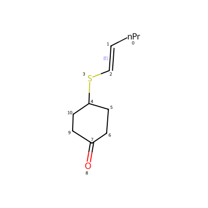 CCC/C=C/SC1CCC(=O)CC1